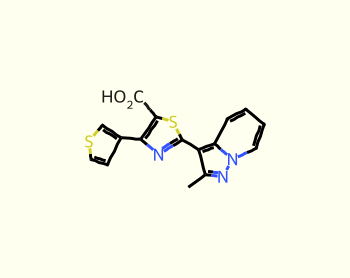 Cc1nn2ccccc2c1-c1nc(-c2ccsc2)c(C(=O)O)s1